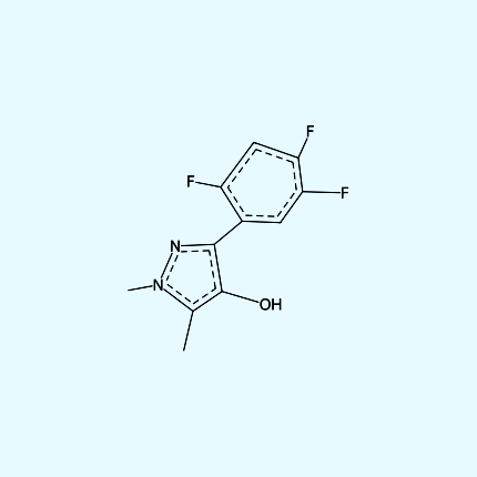 Cc1c(O)c(-c2cc(F)c(F)cc2F)nn1C